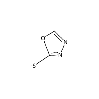 [S]c1nnco1